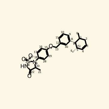 CC1CC=C[C@H](C)[C@@H]1c1cccc(COc2ccc(N3C(C)C(=O)NS3(=O)=O)cc2)c1